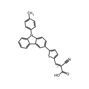 Cc1ccc(-n2c3ccccc3c3cc(-c4ccc(/C=C(\C#N)C(=O)O)s4)ccc32)cc1